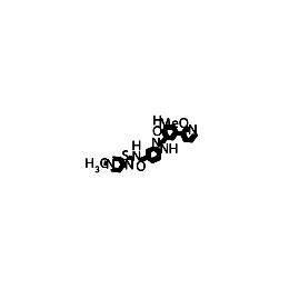 COc1ncccc1-c1ccc(O)c(-c2nc3cc(C(=O)Nc4nc5c(s4)CN(C)CC5)ccc3[nH]2)c1